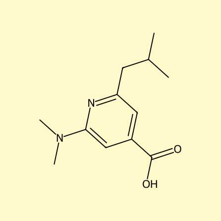 CC(C)Cc1cc(C(=O)O)cc(N(C)C)n1